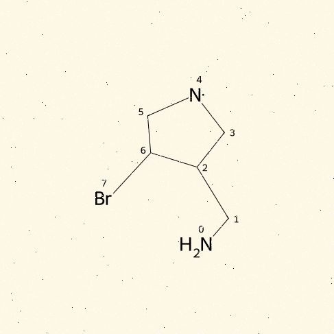 NCC1C[N]CC1Br